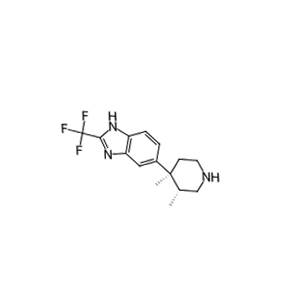 C[C@H]1CNCC[C@]1(C)c1ccc2[nH]c(C(F)(F)F)nc2c1